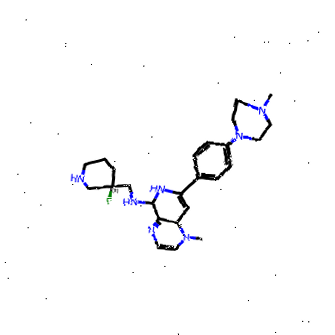 CN1CCN(c2ccc(C3=CC4C(=NC=CN4C)C(NC[C@@]4(F)CCCNC4)N3)cc2)CC1